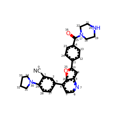 N#Cc1cc(-c2ccnc3cc(-c4ccc(C(=O)N5CCNCC5)cc4)oc23)ccc1N1CCCC1